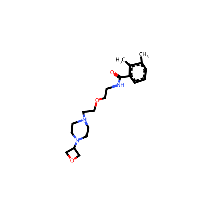 Cc1cccc(C(=O)NCCOCCN2CCN(C3COC3)CC2)c1C